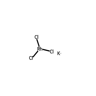 [Cl][Rh]([Cl])[Cl].[K]